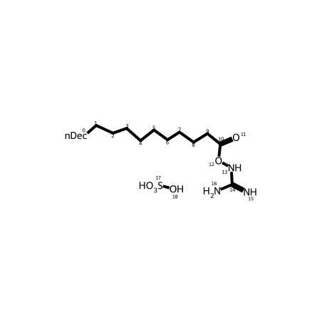 CCCCCCCCCCCCCCCCCCCC(=O)ONC(=N)N.O=S(=O)(O)O